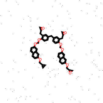 c1cc(OCOc2ccc3ccc(OCC4CC4)cc3c2)c(CC2CO2)cc1Cc1ccc(OCOc2ccc3ccc(OCC4CO4)cc3c2)c(CC2CO2)c1